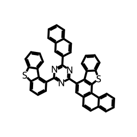 c1ccc2cc(-c3nc(-c4cccc5sc6ccccc6c45)nc(-c4cc5ccc6ccccc6c5c5sc6ccccc6c45)n3)ccc2c1